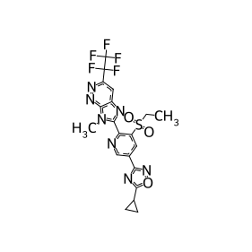 CCS(=O)(=O)c1cc(-c2noc(C3CC3)n2)cnc1-c1nc2cc(C(F)(F)C(F)(F)F)nnc2n1C